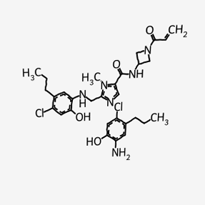 C=CC(=O)N1CC(NC(=O)c2cnc(CNc3cc(CCC)c(Cl)cc3O)n2C)C1.CCCc1cc(N)c(O)cc1Cl